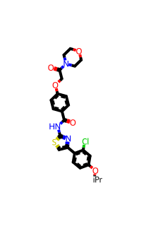 CC(C)Oc1ccc(-c2csc(NC(=O)c3ccc(OCC(=O)N4CCOCC4)cc3)n2)c(Cl)c1